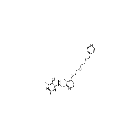 Cc1nc(C)c(Cl)c(NCc2nccc(SCCOCCSCc3ccncc3)c2C)n1